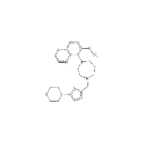 FC(F)(F)Oc1ccc2cccnc2c1N1CCCN(Cc2ccn(C3CCOCC3)n2)CC1